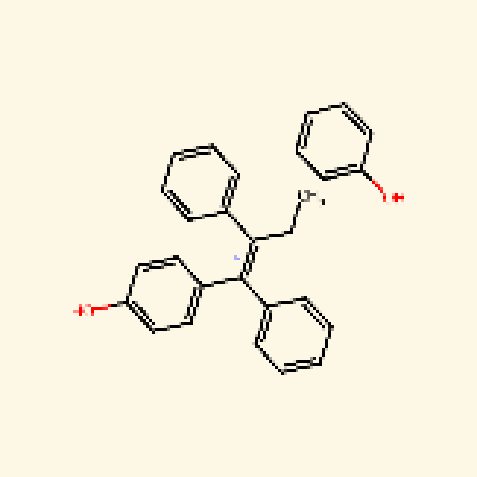 CC/C(=C(\c1ccccc1)c1ccc(O)cc1)c1ccccc1.Oc1ccccc1